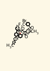 C[C@H]1Cn2c(c(C(=O)NCc3ccccc3-c3ccncn3)n(-c3ccc(N4CCC5(CN(C)C5)C4)cc3)c2=O)CN1C(=O)c1ccc(Br)c(C(F)(F)F)c1